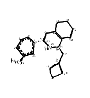 Oc1cccc([C@@H]2CC3=C(CCCC3)[C@@H](CC3CCC3)N2)c1